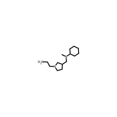 CN(CC1CCN(CCN)C1)C1CCCCC1